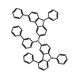 c1ccc(-c2cccc(N(c3ccc4c(c3)c3cc(-c5ccccc5)ccc3n4-c3ccccc3)c3ccc4c(c3)c3c(-c5ccccc5)cccc3n4-c3ccccc3)c2)cc1